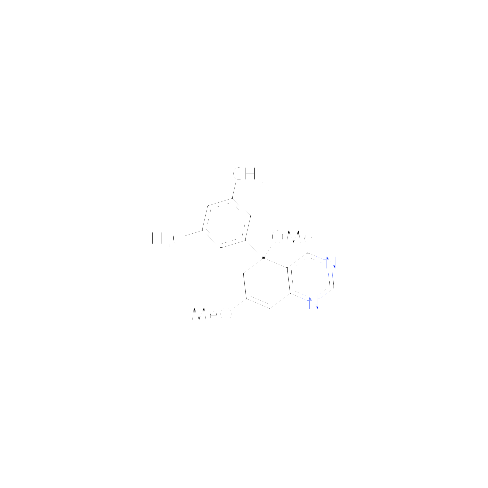 COC1=Cc2ncncc2C(OC)(c2cc(C)cc(C)c2)C1